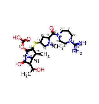 CC(O)C1C(=O)N2C(OC(=O)O)=C(SC3CC(C(=O)N4CCCN(C(=N)N)CC4)N(C)C3)C(C)[C@@H]12